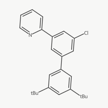 CC(C)(C)c1cc(-c2cc(Cl)cc(-c3ccccn3)c2)cc(C(C)(C)C)c1